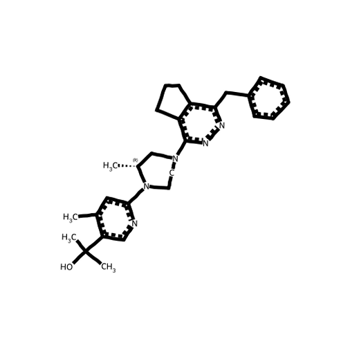 Cc1cc(N2CCN(c3nnc(Cc4ccccc4)c4c3CCC4)C[C@H]2C)ncc1C(C)(C)O